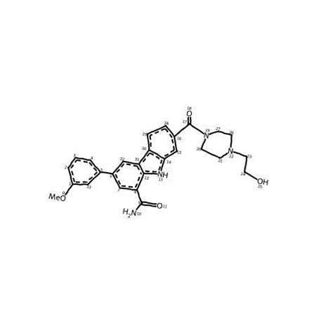 COc1cccc(-c2cc(C(N)=O)c3[nH]c4cc(C(=O)N5CCN(CCO)CC5)ccc4c3c2)c1